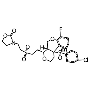 O=C1OCCN1CCS(=O)(=O)CC[C@@H]1OCC[C@@]2(S(=O)(=O)c3ccc(Cl)cc3)c3c(F)ccc(F)c3OC[C@@H]12